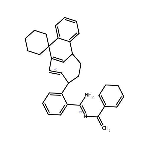 C=C(/N=C(\N)c1ccccc1C1/C=C/C2=CC(CC1)c1ccccc1C21CCCCC1)C1=CCCC=C1